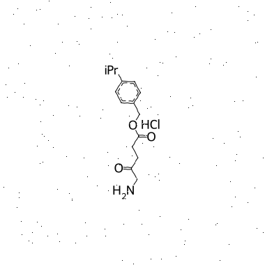 CC(C)c1ccc(COC(=O)CCC(=O)CN)cc1.Cl